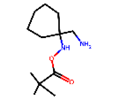 CC(C)(C)C(=O)ONC1(CN)CCCCC1